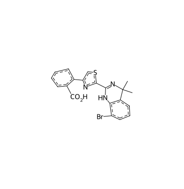 CC1(C)N=C(c2nc(-c3ccccc3C(=O)O)cs2)Nc2c(Br)cccc21